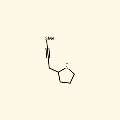 CSC#CCC1CCCN1